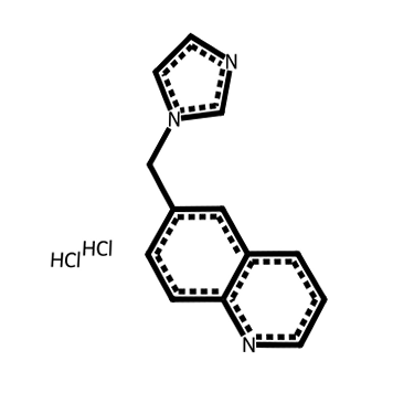 Cl.Cl.c1cnc2ccc(Cn3ccnc3)cc2c1